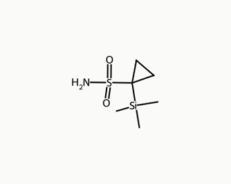 C[Si](C)(C)C1(S(N)(=O)=O)CC1